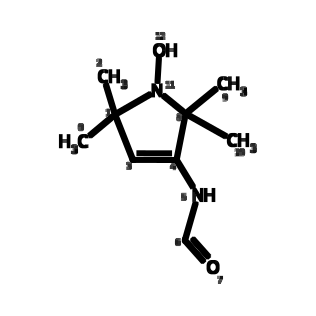 CC1(C)C=C(NC=O)C(C)(C)N1O